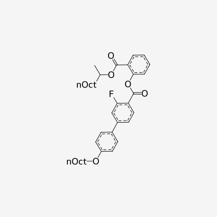 CCCCCCCCOc1ccc(-c2ccc(C(=O)Oc3ccccc3C(=O)OC(C)CCCCCCCC)c(F)c2)cc1